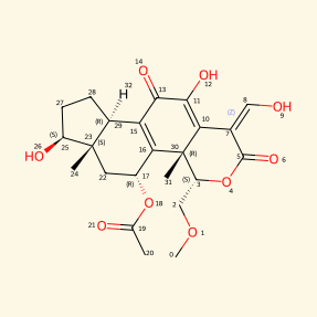 COC[C@H]1OC(=O)/C(=C\O)C2=C(O)C(=O)C3=C([C@H](OC(C)=O)C[C@]4(C)[C@@H](O)CC[C@@H]34)[C@]21C